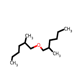 CCCCC(C)COCC(C)CCCC